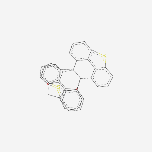 c1cc2c3c(c1)C14c5cccc6sc7cccc(c7c56)C1(c1cccc(c1-3)C2)c1cccc2sc3cccc4c3c12